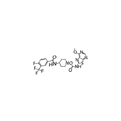 COc1ncnc2sc(NC(=O)ON3CCC(NC(=O)c4ccc(F)c(C(F)(F)F)c4)CC3)nc12